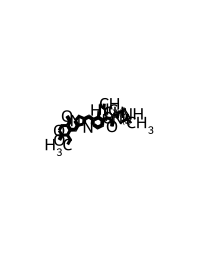 CCC1C(=O)OCc2c1cc1n(c2=O)Cc2cc3c(CN(C)C)c(OC(=O)N4C[C@H](C)NC[C@H]4C)ccc3nc2-1